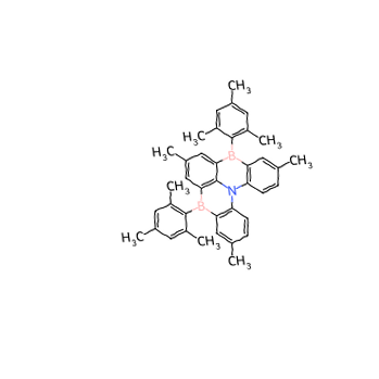 Cc1cc(C)c(B2c3cc(C)ccc3N3c4ccc(C)cc4B(c4c(C)cc(C)cc4C)c4cc(C)cc2c43)c(C)c1